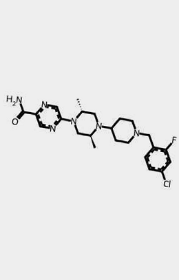 C[C@@H]1CN(C2CCN(Cc3ccc(Cl)cc3F)CC2)[C@@H](C)CN1c1cnc(C(N)=O)cn1